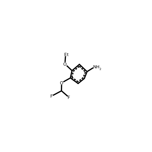 CCOc1cc(N)ccc1OC(F)F